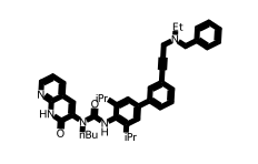 CCCCN(C(=O)Nc1c(C(C)C)cc(-c2cccc(C#CCN(CC)Cc3ccccc3)c2)cc1C(C)C)c1cc2cccnc2[nH]c1=O